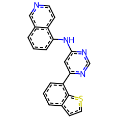 c1cc(Nc2cc(-c3cccc4ccsc34)ncn2)c2ccncc2c1